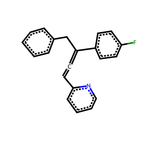 Fc1ccc(C(=C=Cc2ccccn2)Cc2ccccc2)cc1